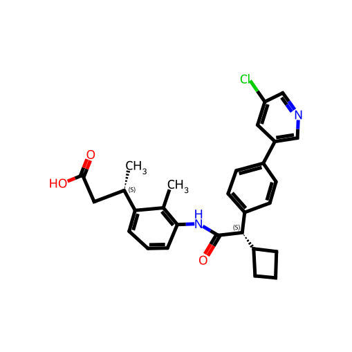 Cc1c(NC(=O)[C@H](c2ccc(-c3cncc(Cl)c3)cc2)C2CCC2)cccc1[C@@H](C)CC(=O)O